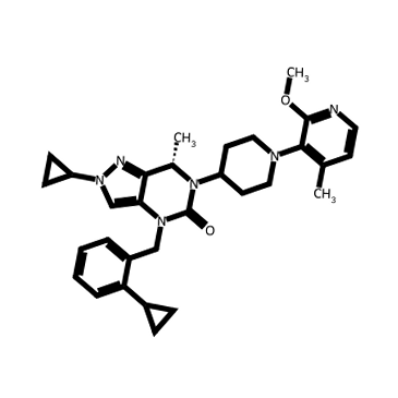 COc1nccc(C)c1N1CCC(N2C(=O)N(Cc3ccccc3C3CC3)c3cn(C4CC4)nc3[C@@H]2C)CC1